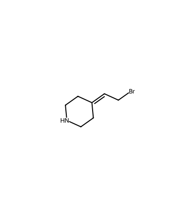 BrCC=C1CCNCC1